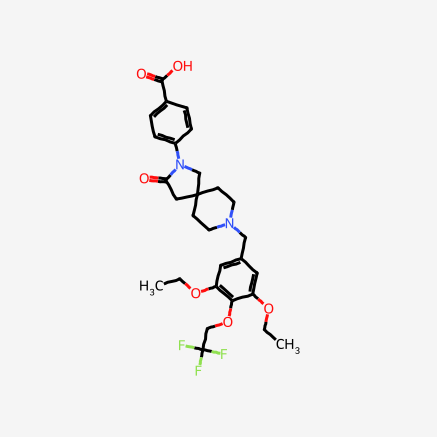 CCOc1cc(CN2CCC3(CC2)CC(=O)N(c2ccc(C(=O)O)cc2)C3)cc(OCC)c1OCC(F)(F)F